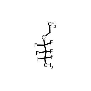 CC(F)(F)C(F)(F)C(F)(F)OCC(F)(F)F